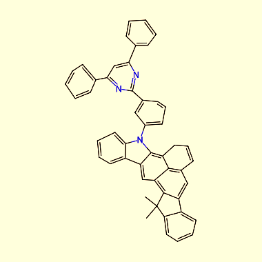 CC1(C)c2ccccc2-c2cc3c4c(c5c(cc4c21)c1ccccc1n5-c1cccc(-c2nc(-c4ccccc4)cc(-c4ccccc4)n2)c1)CC=C3